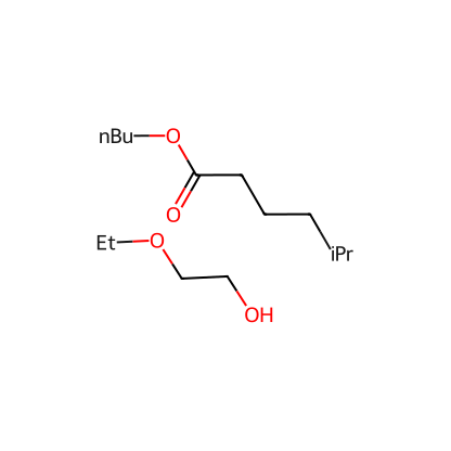 CCCCOC(=O)CCCC(C)C.CCOCCO